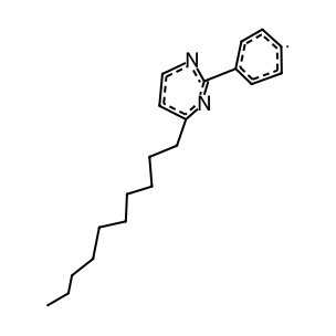 CCCCCCCCCCc1ccnc(-c2cc[c]cc2)n1